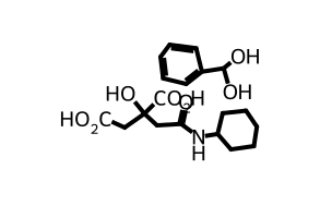 O=C(O)CC(O)(CC(=O)NC1CCCCC1)C(=O)O.OC(O)c1ccccc1